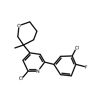 CC1(c2cc(Cl)nc(-c3ccc(F)c(Cl)c3)c2)CCCOC1